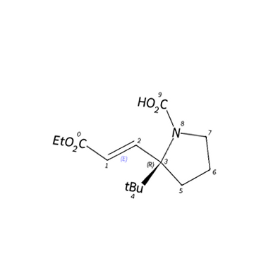 CCOC(=O)/C=C/[C@@]1(C(C)(C)C)CCCN1C(=O)O